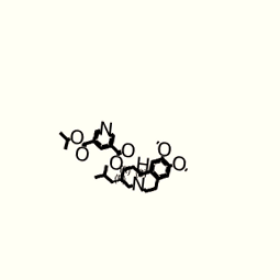 COc1cc2c(cc1OC)[C@H]1C[C@@H](OC(=O)c3cncc(C(=O)OC(C)C)c3)[C@H](CC(C)C)CN1CC2